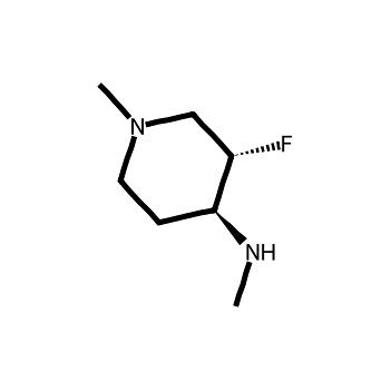 CN[C@H]1CCN(C)C[C@@H]1F